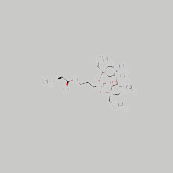 C=CC(=O)OCCC[Si](O)(O[Si](CC)(CC)CC)O[Si](CC)(CC)CC